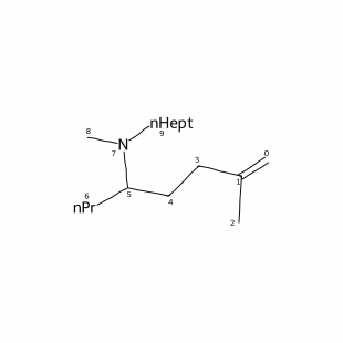 C=C(C)CCC(CCC)N(C)CCCCCCC